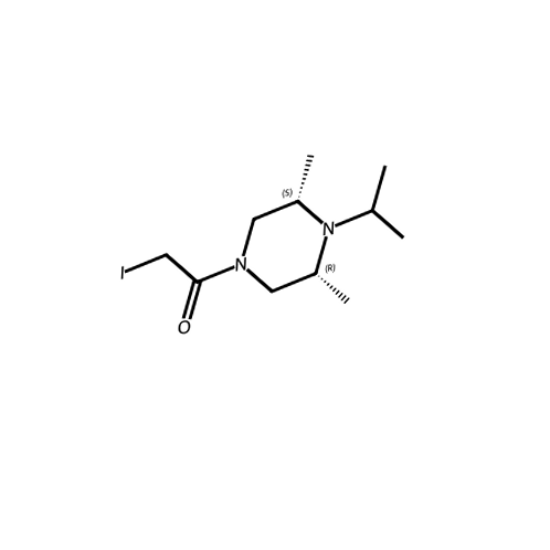 CC(C)N1[C@H](C)CN(C(=O)CI)C[C@@H]1C